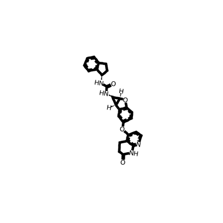 O=C1CCc2c(Oc3ccc4c(c3)[C@H]3[C@H](NC(=O)N[C@H]5CCc6ccccc65)[C@H]3O4)ccnc2N1